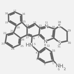 Nc1ccc(Nc2c3nc4c(nc3cc3c5ccccc5c5ccccc5c23)SCCS4)cc1